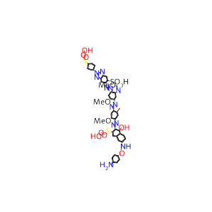 CO/C=N\c1cc(N=Nc2cc(OC)c(N=Nc3c(SOOO)cc4cc(NCOc5ccc(N)cc5)ccc4c3O)cc2C)c(OC)cc1N=Nc1cc2nn(-c3ccc(SOOO)cc3)nc2cc1S(=O)(=O)O